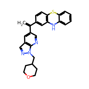 C=C(c1ccc2c(c1)Nc1ccccc1S2)c1cnc2c(cnn2CC2CCOCC2)c1